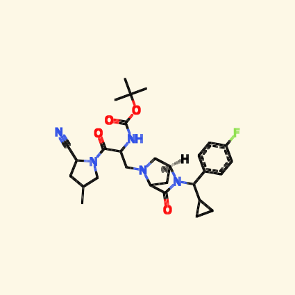 CC1CC(C#N)N(C(=O)C(CN2C[C@@H]3CC2C(=O)N3C(c2ccc(F)cc2)C2CC2)NC(=O)OC(C)(C)C)C1